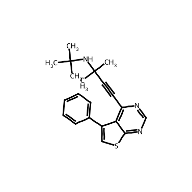 CC(C)(C)NC(C)(C)C#Cc1ncnc2scc(-c3ccccc3)c12